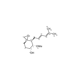 CO[C@@H]1[C@H](O)CC[C@]2(CO2)[C@H]1C/C=C/C=C(C)C